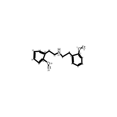 CCOc1ccccc1CCNCCc1ccccc1OCC